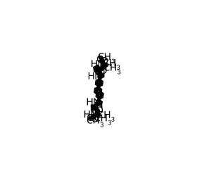 COC(=O)N[C@H](C(=O)N1CCC[C@H]1c1ncc(-c2ccc(-c3ccc4cc(-c5cnc([C@@H]6CCN6C(=O)[C@@H](NC(=O)OC)C(C)C)[nH]5)ccc4c3)cc2)[nH]1)C(C)C